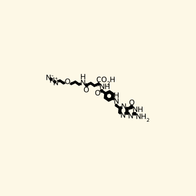 [N-]=[N+]=NCCOCCCNC(=O)CC[C@H](NC(=O)c1ccc(NCc2cnc3nc(N)[nH]c(=O)c3n2)cc1)C(=O)O